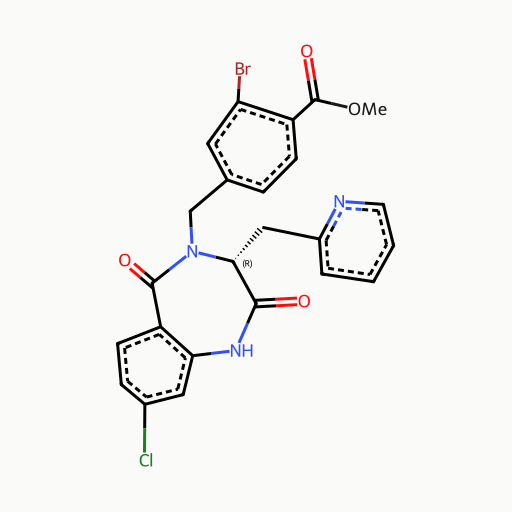 COC(=O)c1ccc(CN2C(=O)c3ccc(Cl)cc3NC(=O)[C@H]2Cc2ccccn2)cc1Br